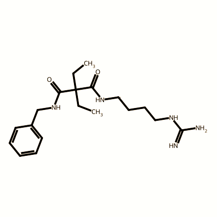 CCC(CC)(C(=O)N[CH]CCCNC(=N)N)C(=O)NCc1ccccc1